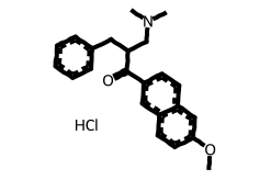 COc1ccc2cc(C(=O)C(Cc3ccccc3)CN(C)C)ccc2c1.Cl